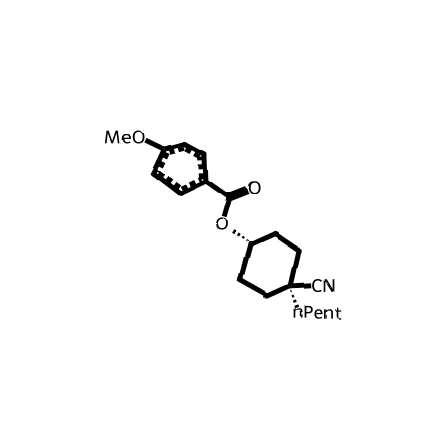 CCCCC[C@]1(C#N)CC[C@H](OC(=O)c2ccc(OC)cc2)CC1